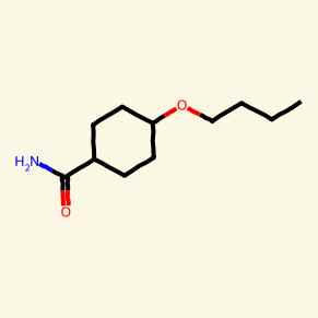 CCCCOC1CCC(C(N)=O)CC1